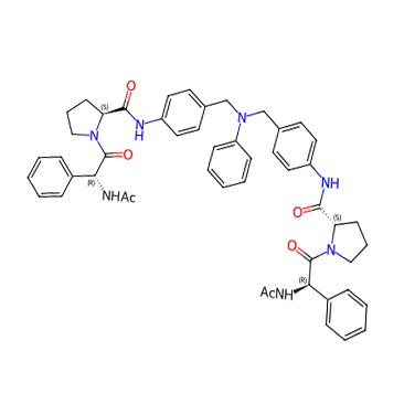 CC(=O)N[C@@H](C(=O)N1CCC[C@H]1C(=O)Nc1ccc(CN(Cc2ccc(NC(=O)[C@@H]3CCCN3C(=O)[C@H](NC(C)=O)c3ccccc3)cc2)c2ccccc2)cc1)c1ccccc1